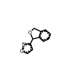 c1ccc2c(c1)COC2c1ccon1